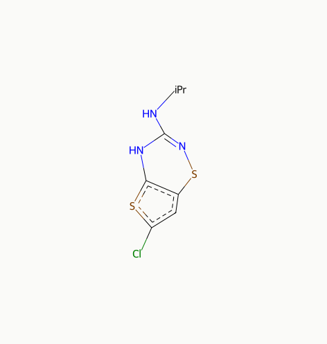 CC(C)NC1=NSc2cc(Cl)sc2N1